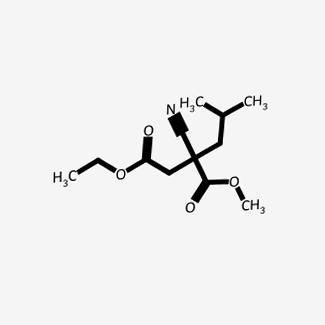 CCOC(=O)CC(C#N)(CC(C)C)C(=O)OC